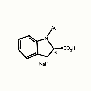 CC(=O)N1c2ccccc2C[C@@H]1C(=O)O.[NaH]